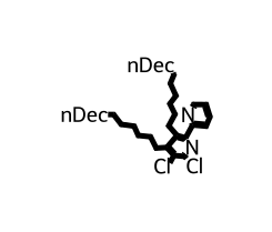 CCCCCCCCCCCCCCCCc1c(-c2ccccn2)nc(Cl)c(Cl)c1CCCCCCCCCCCCCCCC